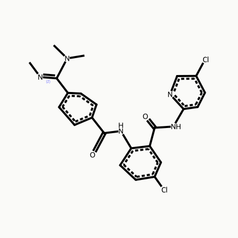 C/N=C(/c1ccc(C(=O)Nc2ccc(Cl)cc2C(=O)Nc2ccc(Cl)cn2)cc1)N(C)C